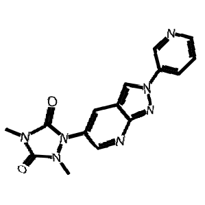 Cn1c(=O)n(C)n(-c2cnc3nn(-c4cccnc4)cc3c2)c1=O